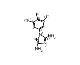 Nc1nc(N)n(-c2cc(Cl)c(I)c(Cl)c2)n1